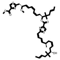 C/C=C/CC(C)(C)[C@H](C\C=C/C=C\C=C\[C@@H](Cc1nc(C(=O)OC)cs1)OC)OC(=O)c1csc(/C=C\C=C\[C@H](C)C/C=C\C[C@H](O)C(C)(C)C/C=C/C)n1